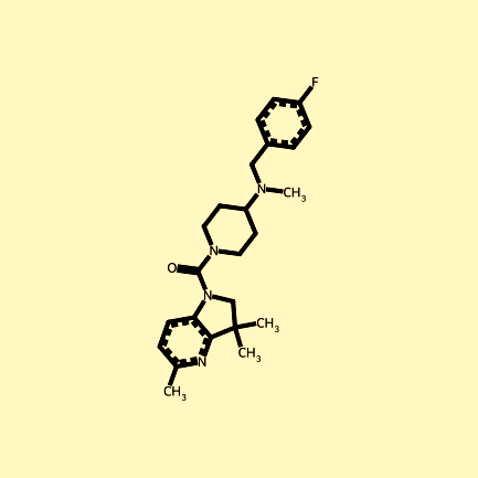 Cc1ccc2c(n1)C(C)(C)CN2C(=O)N1CCC(N(C)Cc2ccc(F)cc2)CC1